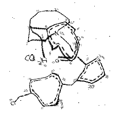 O=C(O)C12CC1(c1ccccc1)CCCN2S(=O)(=O)c1sccc1-c1ccc(Cl)cc1